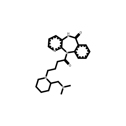 CN(C)CC1CCCCN1CCCC(=O)N1c2ccccc2C(=O)Nc2cccnc21